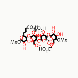 CO[C@@H]1O[C@@H](CCCC(=O)O)[C@@H](O[C@@H]2OC(CO)[C@@H](O[C@@H]3O[C@@H](CO)[C@@H](O[C@@H]4OC(COCC(=O)O)[C@@H](OC)C(O)[C@@H]4O)C(O)C3O)[C@H](O)C2OCC(=O)O)C(O)C1O